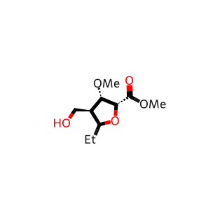 CCC1O[C@@H](C(=O)OC)[C@@H](OC)[C@@H]1CO